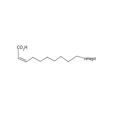 CCCCCCCCCCCCCC/C=C\C(=O)O